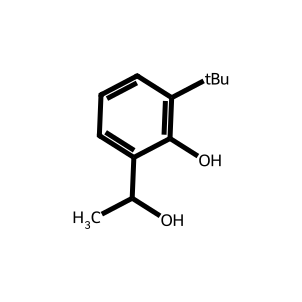 CC(O)c1cccc(C(C)(C)C)c1O